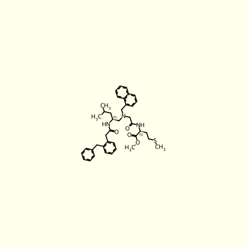 COC(=O)[C@H](CCSC)NC(=O)CN(Cc1cccc2ccccc12)C[C@H](CC(C)C)NC(=O)Cc1ccccc1Cc1ccccc1